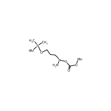 CC(C)(C)OC(=O)ON(N)CCCO[Si](C)(C)C(C)(C)C